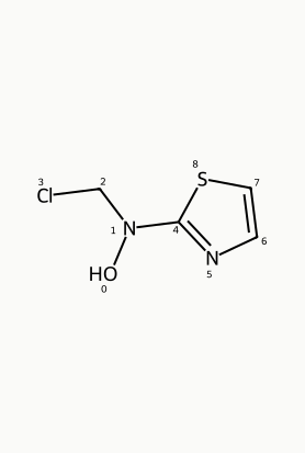 ON(CCl)c1nccs1